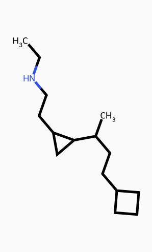 CCNCCC1CC1C(C)CCC1CCC1